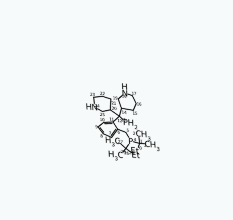 CCC(C)(C)P(Cc1ccccc1C(P)(C1CCCNC1)C1CCCNC1)C(C)(C)CC